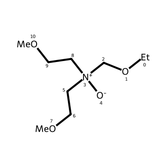 CCOC[N+]([O-])(CCOC)CCOC